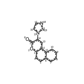 O=c1oc2ccc3ccccc3c2cc1-n1ccnn1